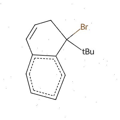 CC(C)(C)C1(Br)CC=Cc2ccccc21